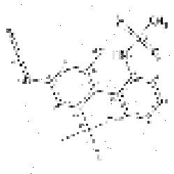 CS(=O)(=O)Nc1ccccc1-c1c(Cl)cc(N=C=S)cc1C(F)(F)F